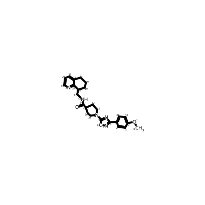 COc1ccc(-c2noc(N3CCC(C(=O)NCC4CCCc5cccnc54)CC3)n2)cc1